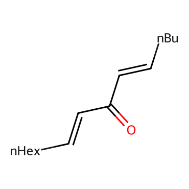 CCCCC=CC(=O)C=CCCCCCC